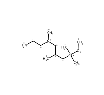 CO[Si](C)(C)CC(C)CN(C)CCN